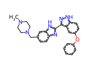 CN1CCN(Cc2ccc3nc(-c4n[nH]c5ccc(Oc6ccccc6)cc45)[nH]c3c2)CC1